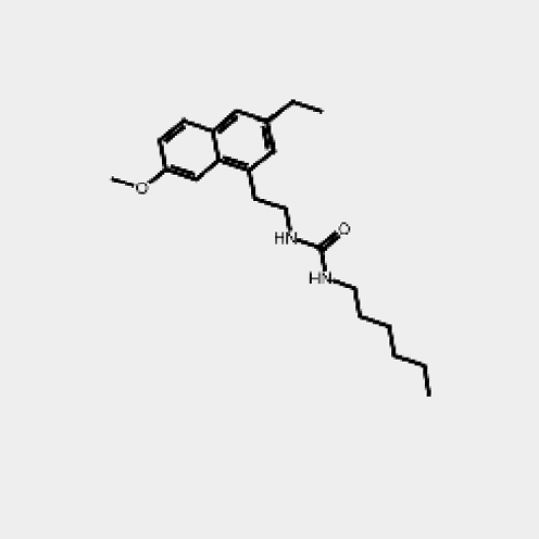 CCCCCCNC(=O)NCCc1cc(CC)cc2ccc(OC)cc12